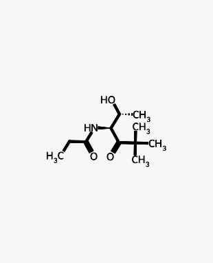 CCC(=O)N[C@H](C(=O)C(C)(C)C)[C@@H](C)O